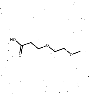 COCCOCCC(=O)O